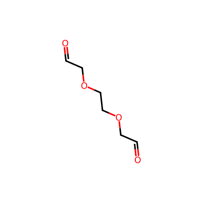 O=CCOCCOCC=O